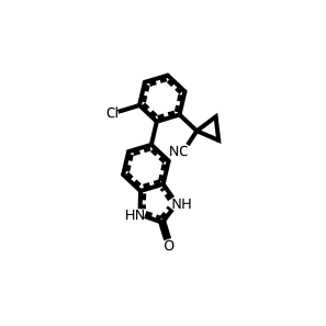 N#CC1(c2cccc(Cl)c2-c2ccc3[nH]c(=O)[nH]c3c2)CC1